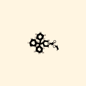 CCOC(=O)N1CCC(C(c2ccccc2)(c2ccccc2)c2ccccc2)CC1